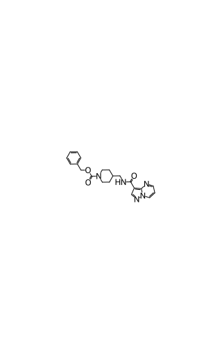 O=C(NCC1CCN(C(=O)OCc2ccccc2)CC1)c1cnn2cccnc12